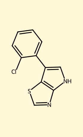 Clc1ccccc1-c1c[nH]c2ncsc12